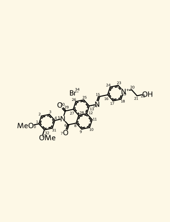 COc1ccc(N2C(=O)c3cccc4c(N=Cc5cc[n+](CCO)cc5)ccc(c34)C2=O)cc1OC.[Br-]